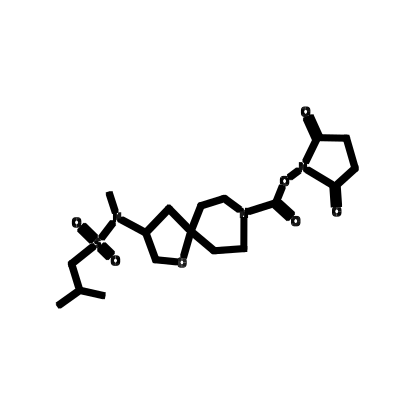 CC(C)CS(=O)(=O)N(C)C1COC2(CCN(C(=O)ON3C(=O)CCC3=O)CC2)C1